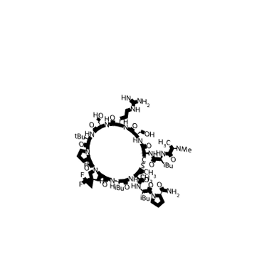 CC[C@H](C)[C@H](NC(=O)[C@H](C)NC)C(=O)N[C@H]1CSC(C)(C)[C@@H](C(=O)N[C@H](C(=O)N2CCC[C@H]2C(N)=O)[C@@H](C)CC)NC(=O)[C@H]([C@@H](C)CC)NC(=O)[C@@H]2C[C@@]3(CN2C(=O)[C@@H]2CCCN2C(=O)[C@H](C(C)(C)C)NC(=O)[C@H](CO)NC(=O)[C@H](CCCNC(=N)N)NC(=O)[C@H](CO)NC1=O)CC3(F)F